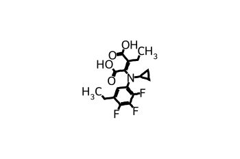 CCC(C(=O)O)=C(C(=O)O)N(c1cc(CC)c(F)c(F)c1F)C1CC1